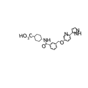 O=C(N[C@H]1CC[C@H](C(=O)O)CC1)c1cccc(COc2ccc(-c3ccn[nH]3)nc2)c1